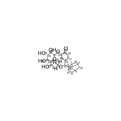 [2H]C([2H])([2H])OC(=C1C2CC3CC(C2)CC1C3)c1ccc(Cl)c(O[C@@H]2OC(CO)[C@H](O)[C@H](O)C2O)c1